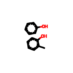 Cc1ccccc1O.Oc1ccccc1